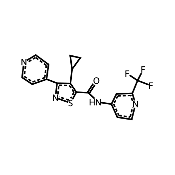 O=C(Nc1ccnc(C(F)(F)F)c1)c1snc(-c2ccncc2)c1C1CC1